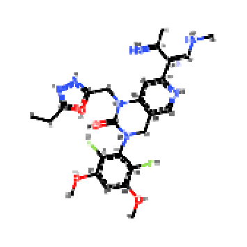 CCc1nnc(CN2C(=O)N(c3c(F)c(OC)cc(OC)c3F)Cc3cnc(/C(=C/NC)C(C)=N)cc32)o1